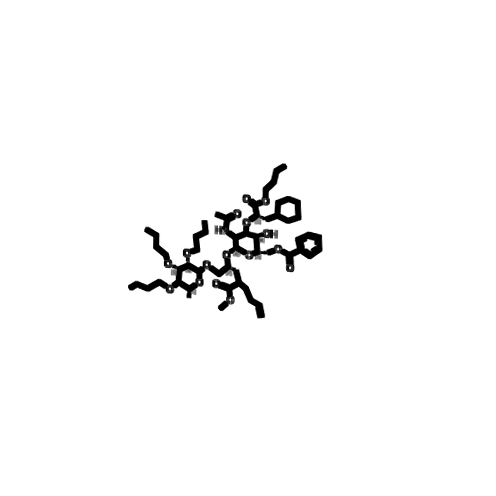 C=CCCC(C[C@H](COC1O[C@@H](C)C(OCCCC)[C@H](OCCCC)[C@@H]1OCCCC)O[C@@H]1O[C@@H](COC(=O)c2ccccc2)[C@H](O)C(O[C@@H](CC2CCCCC2)C(=O)OCCCC)C1NC(C)=O)C(=O)OC